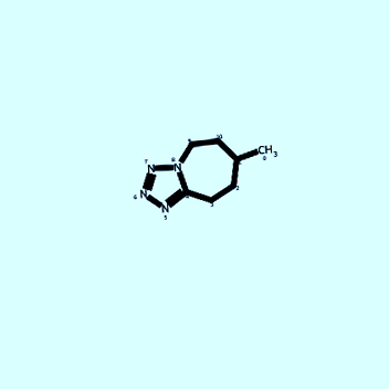 CC1CCc2nnnn2CC1